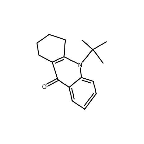 CC(C)(C)n1c2c(c(=O)c3ccccc31)CCCC2